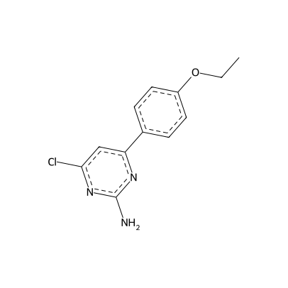 CCOc1ccc(-c2cc(Cl)nc(N)n2)cc1